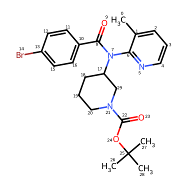 Cc1cccnc1N(C(=O)c1ccc(Br)cc1)C1CCCN(C(=O)OC(C)(C)C)C1